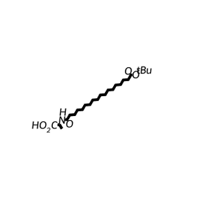 CC(NC(=O)CCCCCCCCCCCCCCCCC(=O)OC(C)(C)C)C(=O)O